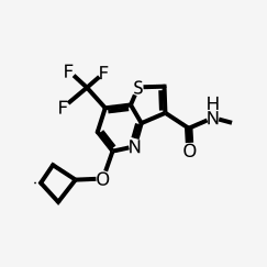 CNC(=O)c1csc2c(C(F)(F)F)cc(OC3C[CH]C3)nc12